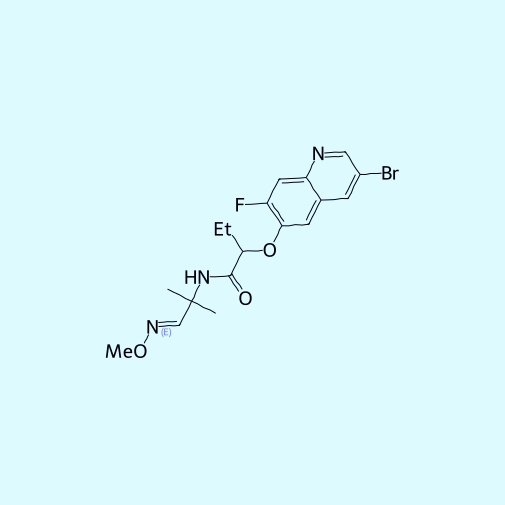 CCC(Oc1cc2cc(Br)cnc2cc1F)C(=O)NC(C)(C)/C=N/OC